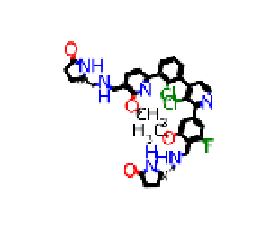 COc1cc(-c2nccc(-c3cccc(-c4ccc(CNC[C@H]5CCC(=O)N5)c(OC)n4)c3Cl)c2Cl)cc(F)c1CNC[C@@H]1CCC(=O)N1